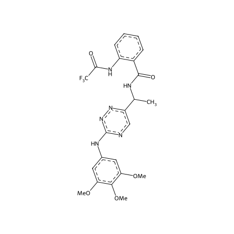 COc1cc(Nc2ncc(C(C)NC(=O)c3ccccc3NC(=O)C(F)(F)F)nn2)cc(OC)c1OC